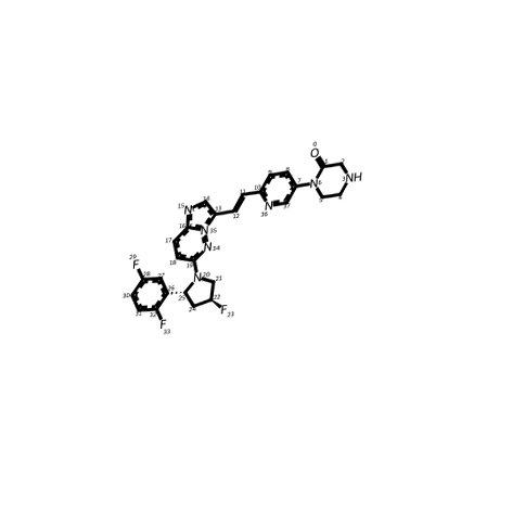 O=C1CNCCN1c1ccc(/C=C/c2cnc3ccc(N4C[C@@H](F)C[C@@H]4c4cc(F)ccc4F)nn23)nc1